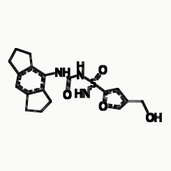 N=S(=O)(NC(=O)Nc1c2c(cc3c1CCC3)CCC2)c1cc(CO)co1